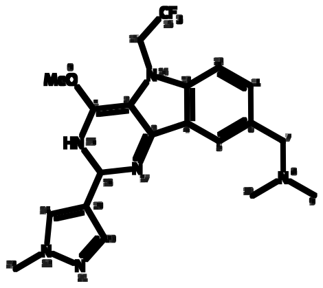 COC1=c2c(c3cc(CN(C)C)ccc3n2CC(F)(F)F)=NC(c2cnn(C)c2)N1